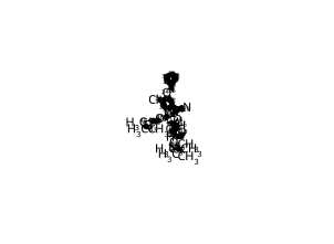 CC(C)(C)[Si](C)(C)OC1CO[C@H]2[C@@H]1OC[C@H]2Oc1c(C#N)c2cc(OCc3ccccc3)c(Cl)cc2n1COCC[Si](C)(C)C